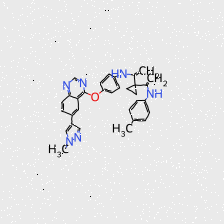 C=C(Nc1ccc(C)cc1)C1(C(=C)Nc2ccc(Oc3ncnc4ccc(-c5cnn(C)c5)cc34)cc2)CC1